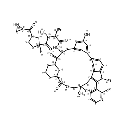 CCn1c(-c2cccnc2C(C)C)c2c3cc(ccc31)-c1cc(O)cc(c1)C[C@H](NC(=O)[C@H](C(C)C)N(C)C(=O)[C@]1(F)CCN(C(=O)[C@H]3CN3)C1)C(=O)N1CCC[C@H](N1)C(=O)OCC(C)(C)C2